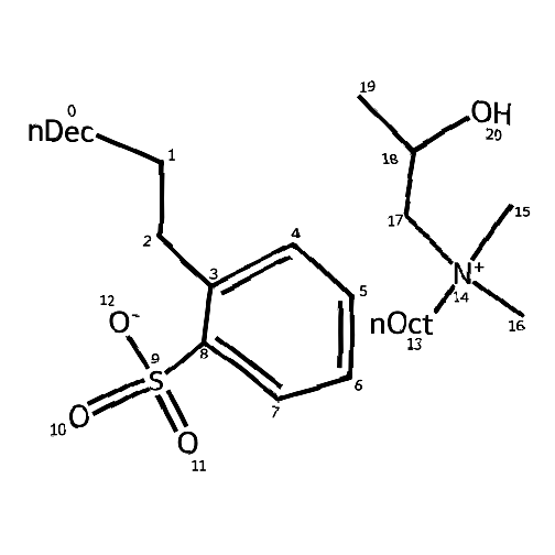 CCCCCCCCCCCCc1ccccc1S(=O)(=O)[O-].CCCCCCCC[N+](C)(C)CC(C)O